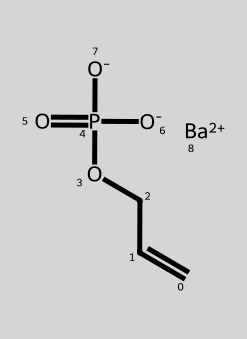 C=CCOP(=O)([O-])[O-].[Ba+2]